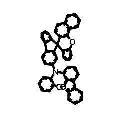 Cc1ccccc1N(c1ccc2c(c1)C1(c3ccccc3Oc3c1ccc1ccccc31)c1ccccc1-2)c1cccc2c1oc1ccccc12